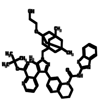 Cc1c(-c2cccnc2C(=O)OC(C)(C)C)c(-c2ccc3c(c2)N(C(=O)Nc2nc4ccccc4s2)CCC3)nn1CC12CC3(C)CC(C)(C1)CC(OCCO)(C3)C2